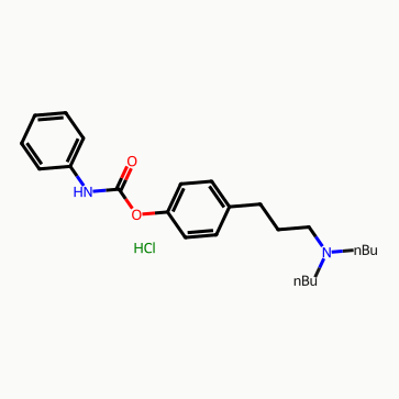 CCCCN(CCCC)CCCc1ccc(OC(=O)Nc2ccccc2)cc1.Cl